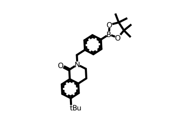 CC(C)(C)c1ccc2c(c1)CCN(Cc1ccc(B3OC(C)(C)C(C)(C)O3)cc1)C2=O